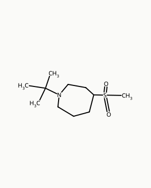 CC(C)(C)N1CCCC(S(C)(=O)=O)CC1